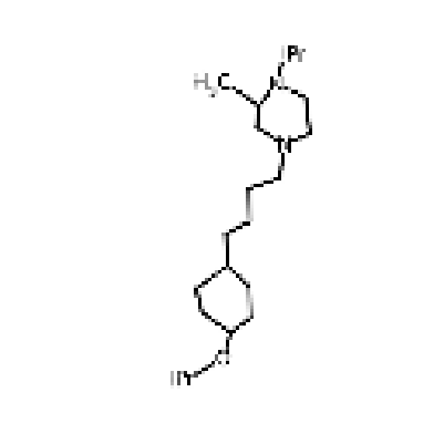 CC(C)OC1CCC(CCCCN2CCN(C(C)C)C(C)C2)CC1